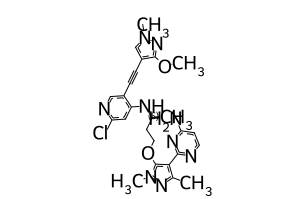 COc1nn(C)cc1C#Cc1cnc(Cl)cc1N[C@@H](C)CCOc1c(-c2nccc(N)n2)c(C)nn1C